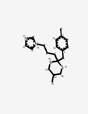 Cc1ccc(CC2(CCCn3ccnc3)SCC(C)CS2)cc1